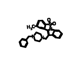 Cc1ccc2c(c1)-c1c(CN3CCN(Cc4ccccc4)CC3)c3ccccc3n1S2(=O)=O